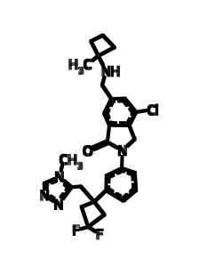 Cn1cnnc1CC1(c2cccc(N3Cc4c(Cl)cc(CNC5(C)CCC5)cc4C3=O)c2)CC(F)(F)C1